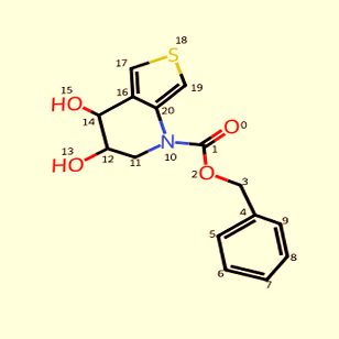 O=C(OCc1ccccc1)N1CC(O)C(O)c2cscc21